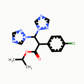 CC(C)OC(=O)C(c1ccc(Cl)cc1)C(n1cncn1)n1cncn1